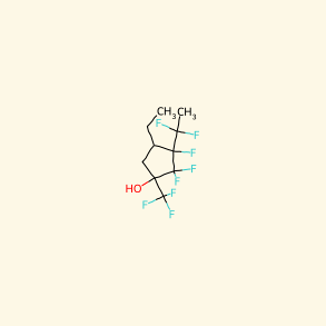 CCC1CC(O)(C(F)(F)F)C(F)(F)C1(F)C(C)(F)F